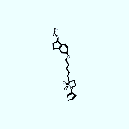 CCO/N=C1\CCc2cc(OCCCCCN3CCN(c4ccsc4)S3(=O)=O)ccc21